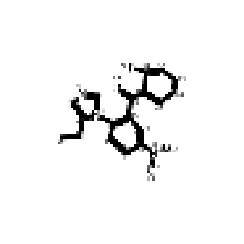 CCc1cncn1-c1ccc([N+](=O)[O-])cc1C(=O)c1ccccc1F